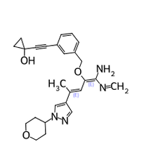 C=N/C(N)=C(\C=C(/C)c1cnn(C2CCOCC2)c1)OCc1cccc(C#CC2(O)CC2)c1